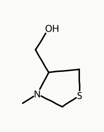 CN1CSCC1CO